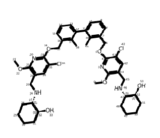 COc1nc(OCc2cccc(-c3cccc(COc4nc(OC)c(CN[C@H]5CCCC[C@@H]5O)cc4Cl)c3C)c2C)c(Cl)cc1CN[C@H]1CCCC[C@@H]1O